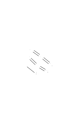 CCC(C)F.N=C=O.N=C=O